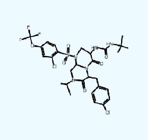 CC(C)N1CC2N(C(=O)C(NC(=O)NC(C)(C)C)CN2S(=O)(=O)c2ccc(OC(F)(F)F)cc2Cl)C(Cc2ccc(Cl)cc2)C1=O